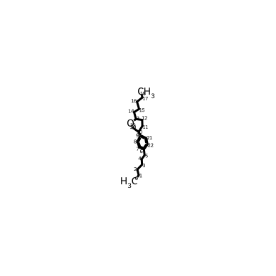 CCCCCCc1ccc(C2CCC(CCCCC)OC2)cc1